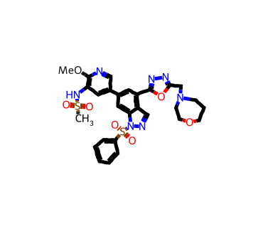 COc1ncc(-c2cc(-c3nnc(CN4CCCOCC4)o3)c3cnn(S(=O)(=O)c4ccccc4)c3c2)cc1NS(C)(=O)=O